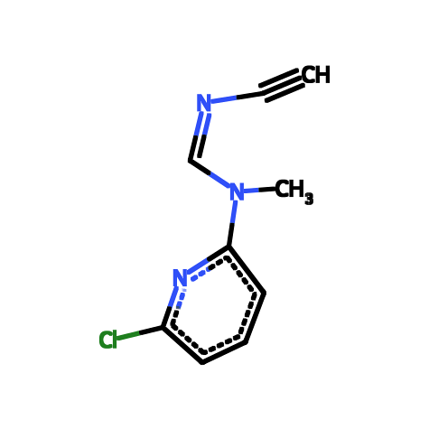 C#C/N=C\N(C)c1cccc(Cl)n1